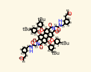 CC(C)(C)C1=CC=C(Oc2cc3c4c(cc(Oc5ccc(C(C)(C)C)cc5)c5c6c(Oc7ccc(C(C)(C)C)cc7)cc7c8c(cc(Oc9ccc(C(C)(C)C)cc9)c(c2c45)c86)C(=O)N(CC(=O)NCc2cccc(CC4CO4)c2)C7=O)C(=O)N(CC(=O)NCc2cccc(CC4CO4)c2)C3=O)CC1